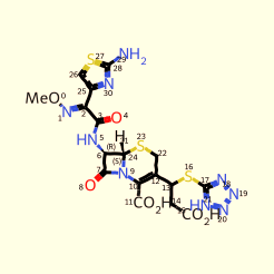 CON=C(C(=O)N[C@@H]1C(=O)N2C(C(=O)O)=C(C(CC(=O)O)Sc3nnn[nH]3)CS[C@@H]12)c1csc(N)n1